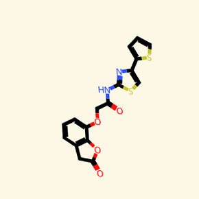 O=C(COc1cccc2c1OC(=O)C2)Nc1nc(-c2cccs2)cs1